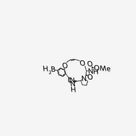 Bc1ccc2c(c1)OC/C=C\COCC(NC(=O)OC)C(=O)N1CCCC1c1nc-2c[nH]1